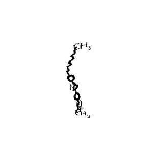 CCCCCCCCCCc1ccc(-c2ncc(-c3ccc(OCC(F)CC)cc3)cn2)cc1